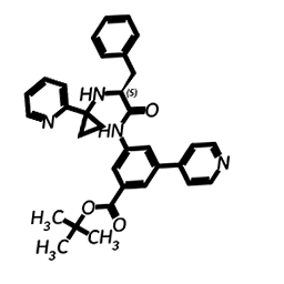 CC(C)(C)OC(=O)c1cc(NC(=O)[C@H](Cc2ccccc2)NC2(c3ccccn3)CC2)cc(-c2ccncc2)c1